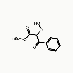 CCCCOC(=O)C(OO)C(=O)c1ccccc1